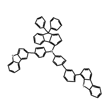 c1ccc(C2(c3ccccc3)c3ccccc3-c3c(N(c4ccc(-c5cccc(-c6cccc7c6sc6ccccc67)c5)cc4)c4ccc(-c5ccc6sc7ccccc7c6c5)cc4)cccc32)cc1